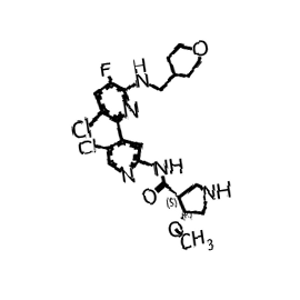 CO[C@H]1CNC[C@@H]1C(=O)Nc1cc(-c2nc(NCC3CCOCC3)c(F)cc2Cl)c(Cl)cn1